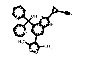 Cc1noc(C)c1-c1cc(C(O)(c2ccccn2)c2ccccn2)c2nc(C3CC3C#N)[nH]c2c1